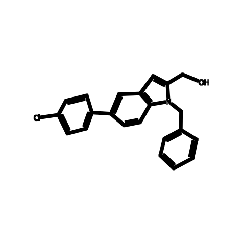 OCc1cc2cc(-c3ccc(Cl)cc3)ccc2n1Cc1ccccc1